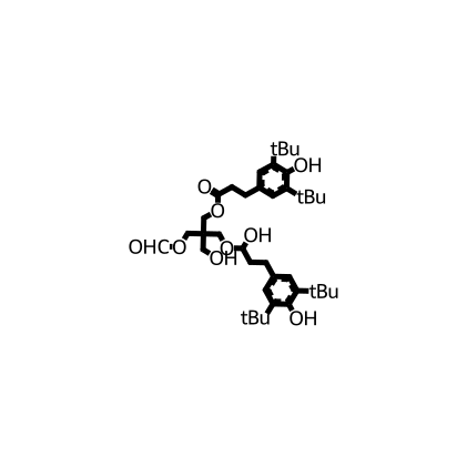 CC(C)(C)c1cc(CCC(=O)OCC(CO)(COC=O)COC(O)CCc2cc(C(C)(C)C)c(O)c(C(C)(C)C)c2)cc(C(C)(C)C)c1O